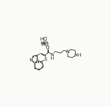 Cl.Cl.Cl.O=C(NCCCN1CCNCC1)C1=Cc2cnc3cccc(n23)S1